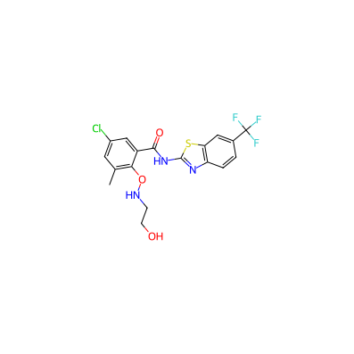 Cc1cc(Cl)cc(C(=O)Nc2nc3ccc(C(F)(F)F)cc3s2)c1ONCCO